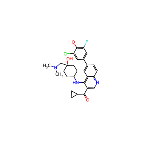 CN(C)CC1(O)CCC(Nc2c(C(=O)C3CC3)cnc3ccc(-c4cc(F)c(O)c(Cl)c4)cc23)CC1